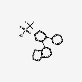 O=S(=O)(O)C(F)(F)F.c1ccc(-c2ccccc2-c2cccc3ccccc23)cc1